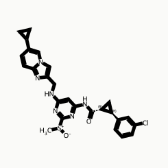 C[S+]([O-])c1nc(NCc2cn3cc(C4CC4)ccc3n2)cc(NC(=O)[C@@H]2C[C@H]2c2cccc(Cl)c2)n1